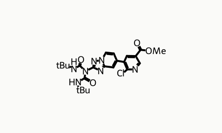 COC(=O)c1cnc(Cl)c(-c2ccn3nc(N(C(=O)NC(C)(C)C)C(=O)NC(C)(C)C)nc3c2)c1